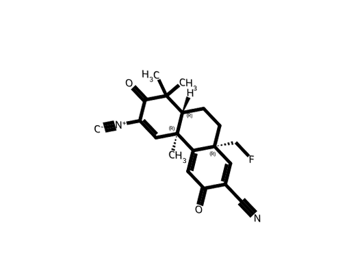 [C-]#[N+]C1=C[C@]2(C)C3=CC(=O)C(C#N)=C[C@]3(CF)CC[C@H]2C(C)(C)C1=O